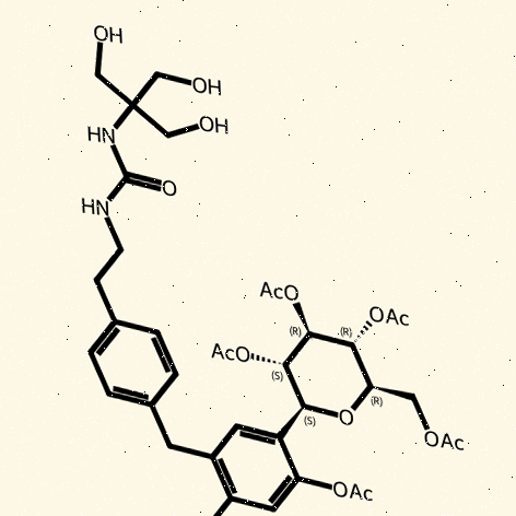 CC(=O)OC[C@H]1O[C@@H](c2cc(Cc3ccc(CCNC(=O)NC(CO)(CO)CO)cc3)c(C)cc2OC(C)=O)[C@H](OC(C)=O)[C@@H](OC(C)=O)[C@@H]1OC(C)=O